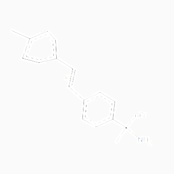 CCCC(C)(N)c1ccc(/C=C/c2ccc(C)cc2)cc1